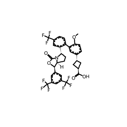 COc1ccc([C@H]2C[C@H](C(=O)O)C2)cc1-c1ccc(C(F)(F)F)cc1[C@@H]1CC[C@H]2[C@@H](c3cc(C(F)(F)F)cc(C(F)(F)F)c3)OC(=O)N12